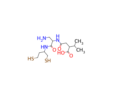 CC(C)C(CC(=O)NC(CN)C(=O)NC(CS)CCS)C(=O)O